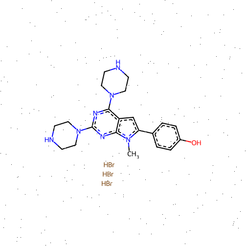 Br.Br.Br.Cn1c(-c2ccc(O)cc2)cc2c(N3CCNCC3)nc(N3CCNCC3)nc21